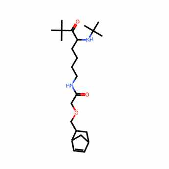 CC(C)(C)NC(CCCCNC(=O)COCC1CC2C=CC1C2)C(=O)C(C)(C)C